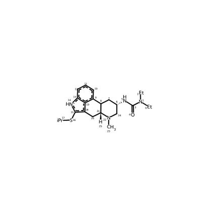 CCN(CC)C(=O)N[C@H]1CC2c3cccc4[nH]c(SC(C)C)c(c34)C[C@H]2N(C)C1